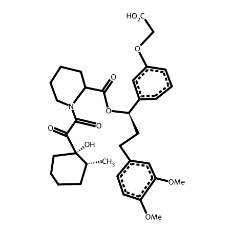 COc1ccc(CC[C@@H](OC(=O)C2CCCCN2C(=O)C(=O)[C@]2(O)CCCC[C@H]2C)c2cccc(OCC(=O)O)c2)cc1OC